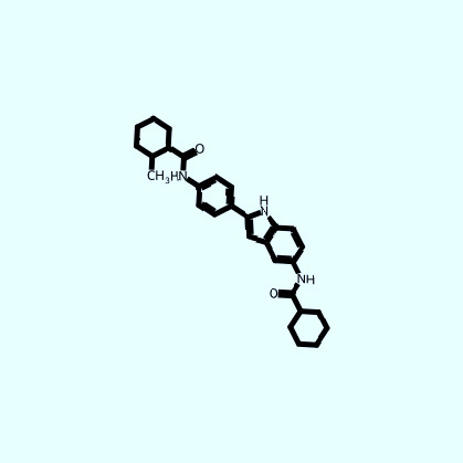 CC1CCCCC1C(=O)Nc1ccc(-c2cc3cc(NC(=O)C4CCCCC4)ccc3[nH]2)cc1